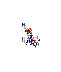 CN(Cc1ccccc1)C(=O)C(C)(C)c1ccc(S(=O)(=O)/C=C/C#N)cc1